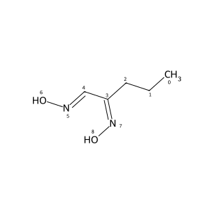 CCCC(C=NO)=NO